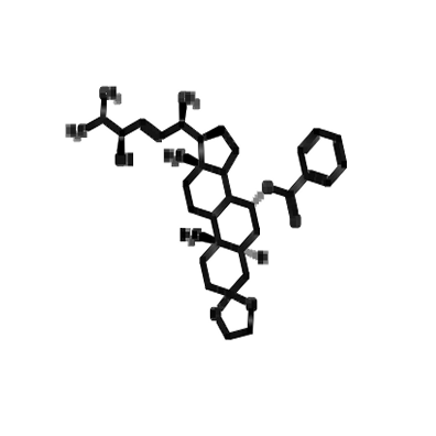 CC(C)[C@H](O)/C=C/[C@@H](C)[C@H]1CCC2C3C(CC[C@@]21C)[C@@]1(C)CCC2(C[C@@H]1C[C@H]3OC(=O)c1ccccc1)OCCO2